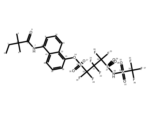 CCC(C)(C)C(=O)Nc1cccc2c(OS(=O)(=O)C(F)(F)C(F)(F)C(F)(F)S(=O)(=O)NS(=O)(=O)C(F)(F)F)cccc12